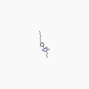 CCCCCCCc1ccc(-c2ncc(CCCC)c(F)n2)cc1